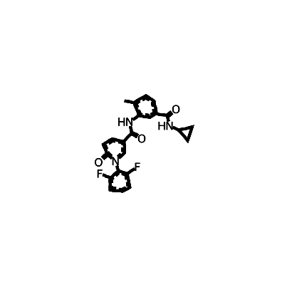 Cc1ccc(C(=O)NC2CC2)cc1NC(=O)c1ccc(=O)n(-c2c(F)cccc2F)c1